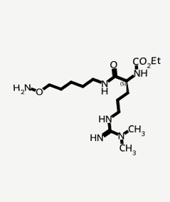 CCOC(=O)N[C@@H](CCCNC(=N)N(C)C)C(=O)NCCCCCON